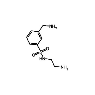 NCCNS(=O)(=O)c1cccc(CN)c1